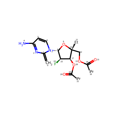 C=C1N=C(N)C=CN1[C@@H]1O[C@](CC)(COC(=O)C(C)C)[C@@H](OC(=O)C(C)C)[C@H]1F